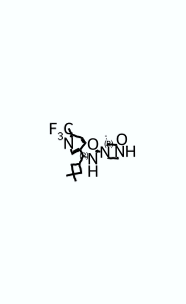 C[C@@H]1C(=O)NCCN1C(=O)N[C@@H](c1ccc(C(F)(F)F)nc1)C1CC(C)(C)C1